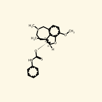 COc1ccc2c3c1O[C@H]1C[C@H](OC(=S)Nc4ccccc4)C(C)[C@@]31CCN(C)C2